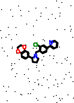 Clc1cc(-c2ccccn2)ccc1CN1CCCC1c1ccc2c(c1)OCCO2